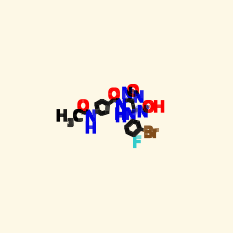 CC(=O)Nc1ccc(C(=O)Nc2nonc2/C(=N\O)Nc2ccc(F)c(Br)c2)cc1